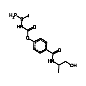 CC(CO)NC(=O)c1ccc(OC(=O)NB(P)I)cc1